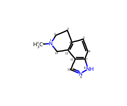 CN1CCc2ccc3[nH]ncc3c2C1